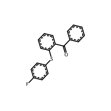 O=C(c1ccccc1)c1ccccc1Sc1ccc(F)cc1